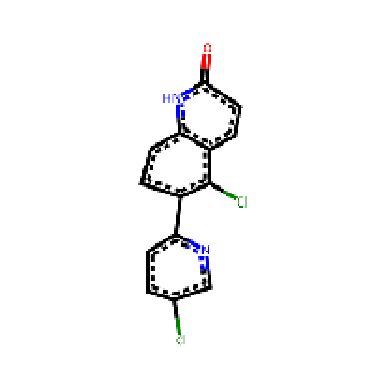 O=c1ccc2c(Cl)c(-c3ccc(Cl)cn3)ccc2[nH]1